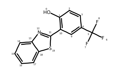 Oc1ccc(C(F)(F)F)cc1-c1nc2ccccc2s1